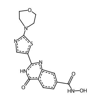 O=C(NO)c1ccc2c(=O)[nH]c(-c3cnc(N4CCOCC4)s3)nc2c1